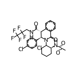 CS(=O)(=O)N[C@H]1CCCCC1N1C(=O)c2ccccc2[C@@H](C(=O)NCC(F)(F)C(F)(F)F)[C@@H]1c1ccc(Cl)cc1Cl